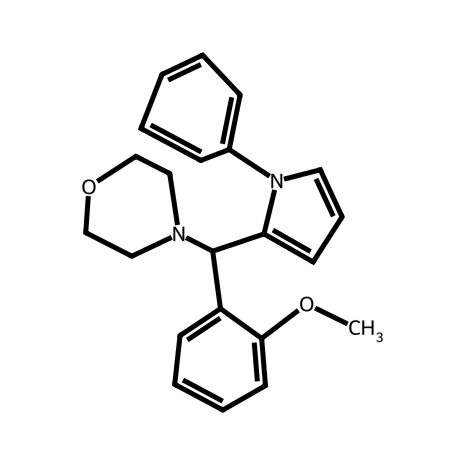 COc1ccccc1C(c1cccn1-c1ccccc1)N1CCOCC1